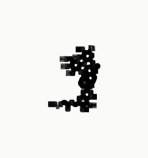 C=C1C[C@@]23CC[C@H]4[C@@](C)(CCC[C@@]4(C)C(=O)O[C@@H]4OC(COC(=O)CC(=O)O)[C@@H](O)C(O)C4O)[C@@H]2CC[C@]1(OC1O[C@H](CC)C(O)C(O)[C@H]1O[C@@H]1OC(CO)[C@@H](O)C(O)C1O)C3